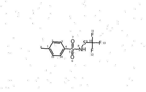 Cc1ccc(S(=O)(=O)NSC(F)(F)F)cc1